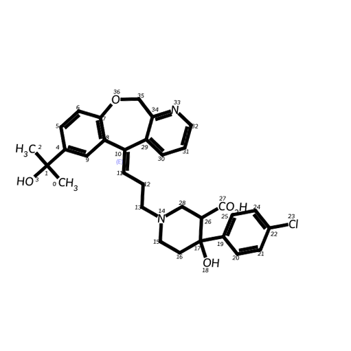 CC(C)(O)c1ccc2c(c1)/C(=C/CCN1CCC(O)(c3ccc(Cl)cc3)C(C(=O)O)C1)c1cccnc1CO2